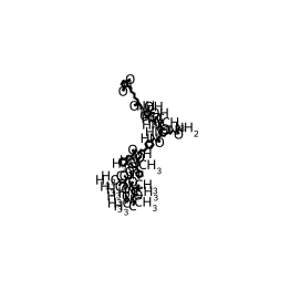 CCC(C)C(C(CC(=O)N1CCCC1C(OC)C(C)C(=O)N[C@@H](Cc1ccccc1)C(=O)NCCc1ccc(NC(=O)C(CCCNC(N)=O)NC(=O)C(NC(=O)C[C@@H]2O[C@H](CNC(=O)CCCCCN3C(=O)C=CC3=O)C(O)C2O)C(C)C)cc1)OC)N(C)C(=O)C(NC(=O)C(C(C)C)N(C)C)C(C)C